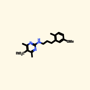 CCOC(=O)c1c(C)nc(NCCCc2cc(OC)ccc2C)nc1C